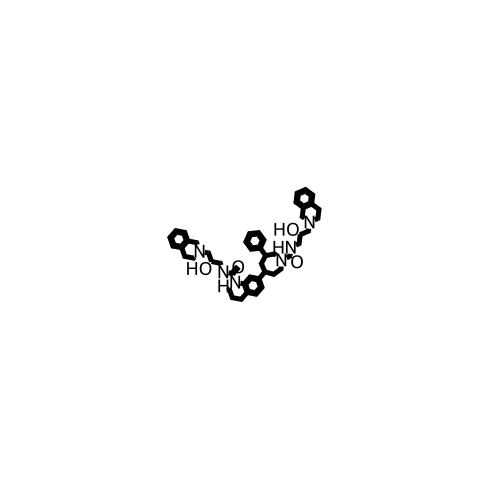 O=C(NCC(O)CN1CCc2ccccc2C1)N1CCC(c2ccc3c(c2)N(C(=O)NCC(O)CN2CCc4ccccc4C2)CCC3)CC(c2ccccc2)C1